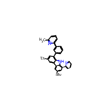 CCc1cc(-c2cccc(-c3cccc(C)n3)c2)c2[nH]c3c(-c4ccccn4)cc(C(C)(C)C)cc3c2c1